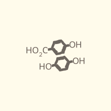 O=C(O)c1ccc(O)cc1.Oc1ccc(O)cc1